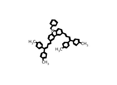 Cc1ccc(C(=CC=Cc2ccc3c(c2)c2cc(C=CC=C(c4ccc(C)cc4)c4ccc(C)cc4)ccc2n3Cc2ccccc2)c2ccc(C)cc2)cc1